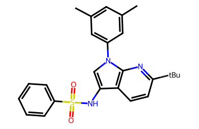 Cc1cc(C)cc(-n2cc(NS(=O)(=O)c3ccccc3)c3ccc(C(C)(C)C)nc32)c1